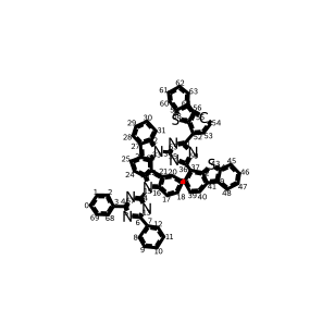 c1ccc(-c2nc(-c3ccccc3)nc(-n3c4ccccc4c4c3ccc3c5ccccc5n(-c5nc(-c6cccc7c6sc6ccccc67)nc(-c6cccc7c6sc6ccccc67)n5)c34)n2)cc1